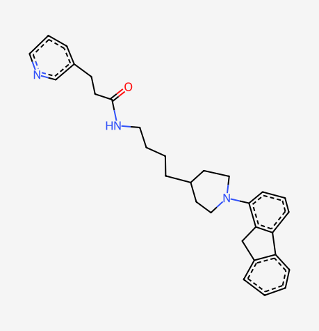 O=C(CCc1cccnc1)NCCCCC1CCN(c2cccc3c2Cc2ccccc2-3)CC1